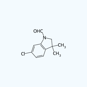 CC1(C)CN(C=O)c2cc(Cl)ccc21